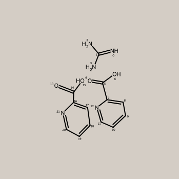 N=C(N)N.O=C(O)c1ccccn1.O=C(O)c1ccccn1